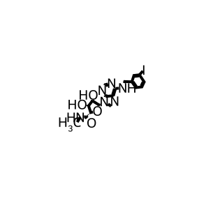 CNC(=O)[C@H]1O[C@@H](n2cnc3c(NCc4cccc(I)c4)ncnc32)C(O)[C@H]1O